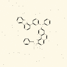 c1ccc(C2Nc3ccc4ccc5cc(N(c6ccccc6)c6cccc(-c7cccc8c7oc7ccccc78)c6)ccc5c4c3O2)cc1